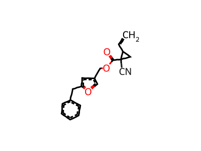 C=CC1CC1(C#N)C(=O)OCc1coc(Cc2ccccc2)c1